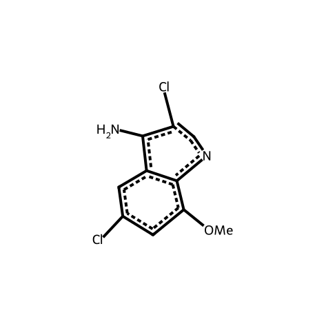 COc1cc(Cl)cc2c(N)c(Cl)cnc12